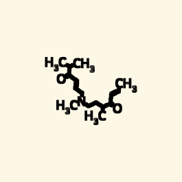 C/C=C/C(=O)C(C)CCN(C)C/C=C/C(=O)C(C)C